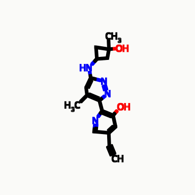 C#Cc1cnc(-c2nnc(NC3CC(C)(O)C3)cc2C)c(O)c1